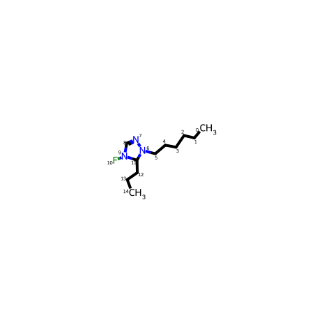 CCCCCCN1N=CN(F)C1CCC